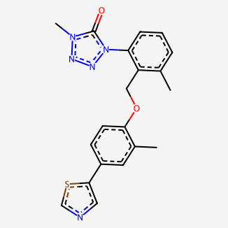 Cc1cc(-c2cncs2)ccc1OCc1c(C)cccc1-n1nnn(C)c1=O